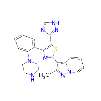 Cc1nn2ccccc2c1-c1nc(-c2ccccc2N2CCNCC2)c(-c2nc[nH]n2)s1